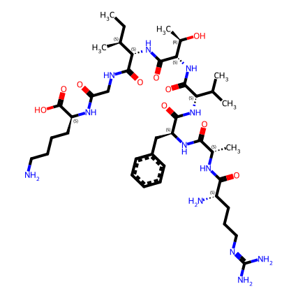 CC[C@H](C)[C@H](NC(=O)[C@@H](NC(=O)[C@@H](NC(=O)[C@H](Cc1ccccc1)NC(=O)[C@H](C)NC(=O)[C@@H](N)CCCN=C(N)N)C(C)C)[C@@H](C)O)C(=O)NCC(=O)N[C@@H](CCCCN)C(=O)O